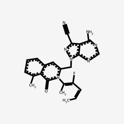 C/C=C\C(F)=C(/C)n1c(Cn2nc(C#N)c3c(N)ncnc32)cc2cccc(C)c2c1=O